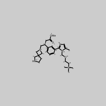 COC(=O)C[C@H](CN1CC2(CCNC2)C1)c1cccc(-c2ncc(C)n2COCC[Si](C)(C)C)c1